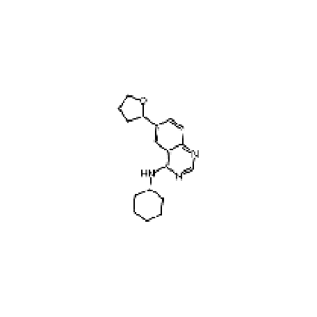 c1nc(NC2CCCCC2)c2cc(C3CCCO3)ccc2n1